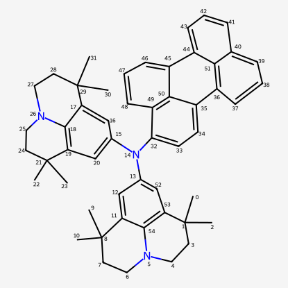 CC1(C)CCN2CCC(C)(C)c3cc(N(c4cc5c6c(c4)C(C)(C)CCN6CCC5(C)C)c4ccc5c6cccc7cccc(c8cccc4c85)c76)cc1c32